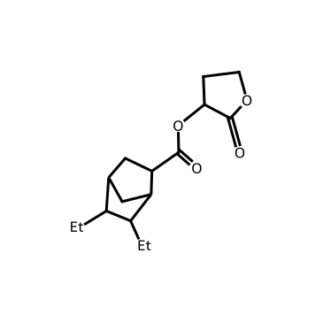 CCC1C2CC(C(=O)OC3CCOC3=O)C(C2)C1CC